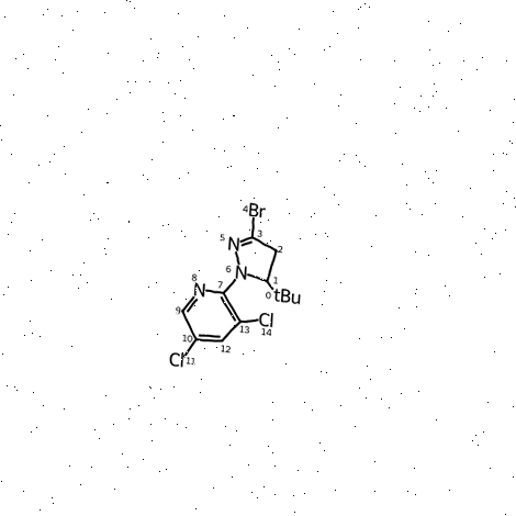 CC(C)(C)C1CC(Br)=NN1c1ncc(Cl)cc1Cl